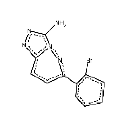 Nc1nnc2ccc(-c3ccccc3Br)nn12